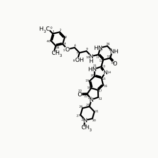 Cc1ccc(OCC(O)CNC2=C(c3nc4cc5c(cc4[nH]3)C(=O)N(C3CCN(C)CC3)C5)C(=O)NCN2)c(C)c1